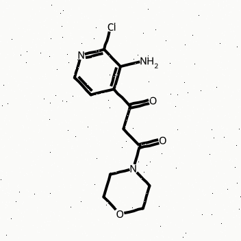 Nc1c(C(=O)CC(=O)N2CCOCC2)ccnc1Cl